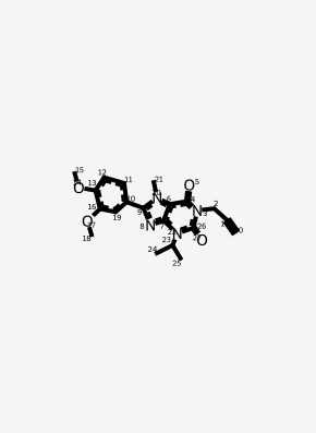 C#CCn1c(=O)c2c(nc(-c3ccc(OC)c(OC)c3)n2C)n(C(C)C)c1=O